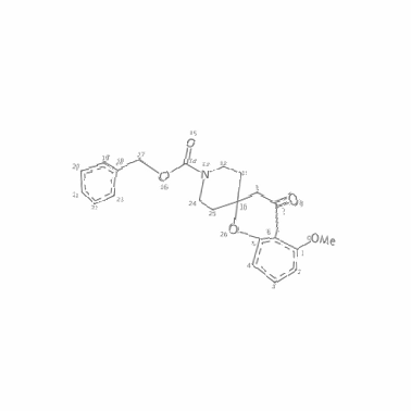 COc1cccc2c1C(=O)CC1(CCN(C(=O)OCc3ccccc3)CC1)O2